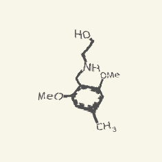 COc1cc(C)cc(OC)c1CNCCO